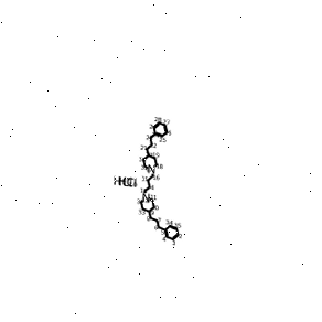 Cl.Cl.c1ccc(CCCC2CCN(CCCCN3CCC(CCCc4ccccc4)CC3)CC2)cc1